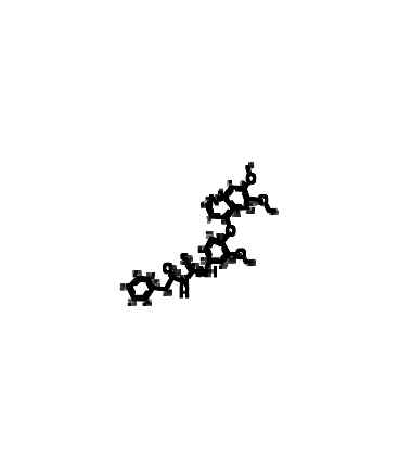 COc1cc2nccc(Oc3ccc(NC(=S)NC(=O)Cc4ccccc4)cc3OC)c2cc1OC